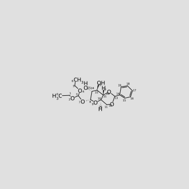 CCOC(OCC)O[C@H]1O[C@@H]2COC(c3ccccc3)O[C@H]2[C@H](O)[C@H]1O